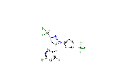 Fc1cnc(Cc2cc(C(F)(F)F)nn2-c2ccc(C(F)(F)F)cc2)c(F)c1